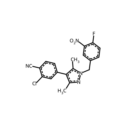 Cc1nn(Cc2ccc(F)c([N+](=O)[O-])c2)c(C)c1-c1ccc(C#N)c(Cl)c1